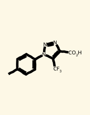 Cc1ccc(-n2nnc(C(=O)O)c2C(F)(F)F)cc1